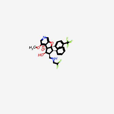 COc1cncc2c1[C@]1(O)[C@H](O)[C@H](CNCC(F)F)[C@@H](C3C=CC=CC3)[C@]1(c1ccc(C(F)(F)F)cc1)O2